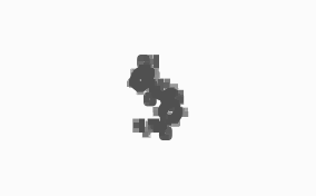 CC1(C)C2CCC1(NC(=O)c1cnn3c1CN(C(N)=O)CC3)CC2O